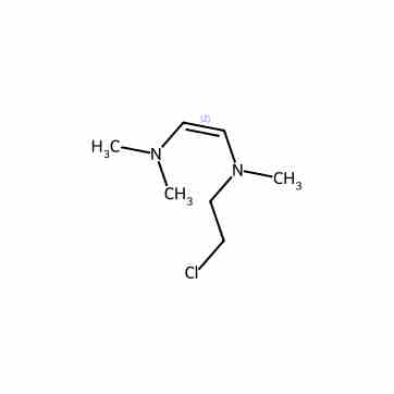 CN(C)/C=C\N(C)CCCl